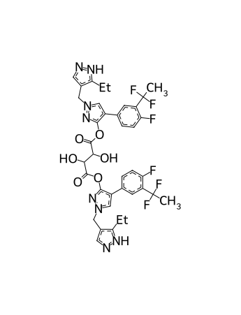 CCc1[nH]ncc1Cn1cc(-c2ccc(F)c(C(C)(F)F)c2)c(OC(=O)C(O)C(O)C(=O)Oc2nn(Cc3cn[nH]c3CC)cc2-c2ccc(F)c(C(C)(F)F)c2)n1